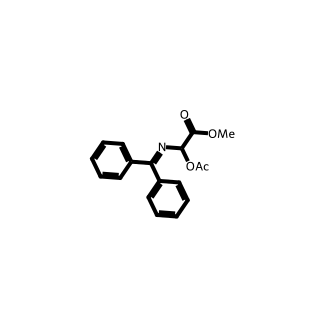 COC(=O)C(N=C(c1ccccc1)c1ccccc1)OC(C)=O